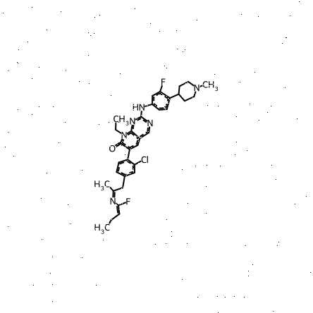 CC/C=C(F)\N=C(\C)Cc1ccc(-c2cc3cnc(Nc4ccc(C5CCN(C)CC5)c(F)c4)nc3n(CC)c2=O)c(Cl)c1